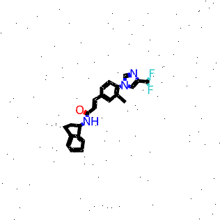 Cc1cc(/C=C/C(=O)NC2CCc3ccccc32)ccc1-n1cnc(C(F)F)c1